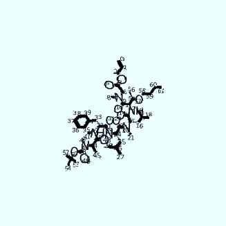 C=CCOC(=O)CN(C)C(=O)[C@@H](NC(=O)[C@H](CC(C)C)N(C)C(=O)[C@H](CC(C)C)NC(=O)[C@@H](Cc1ccccc1)N(C)C(=O)C(C)N(C)C(=O)OC(C)(C)C)[C@@H](C)OCCCC